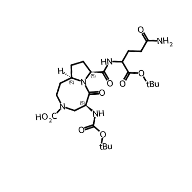 CC(C)(C)OC(=O)N[C@H]1CN(C(=O)O)CC[C@H]2CC[C@@H](C(=O)NC(CCC(N)=O)C(=O)OC(C)(C)C)N2C1=O